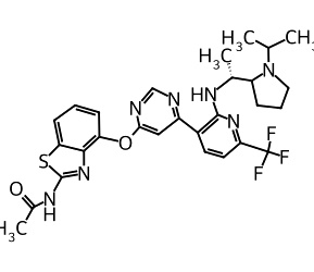 CC(=O)Nc1nc2c(Oc3cc(-c4ccc(C(F)(F)F)nc4N[C@H](C)C4CCCN4C(C)C)ncn3)cccc2s1